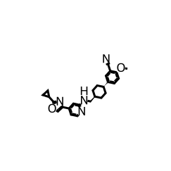 COc1ccc([C@H]2CC[C@H](CNc3cc(-c4coc(C5CC5)n4)ccn3)CC2)cc1C#N